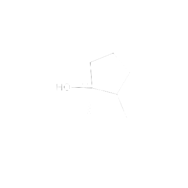 CC1CCC[C@]1(C)O